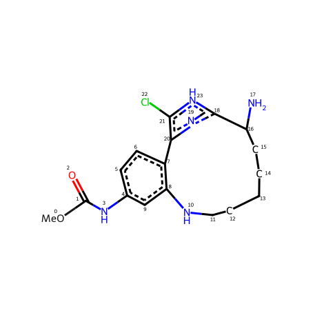 COC(=O)Nc1ccc2c(c1)NCCCCCC(N)c1nc-2c(Cl)[nH]1